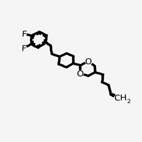 C=CCCCC1COC(C2CCC(CCc3ccc(F)c(F)c3)CC2)OC1